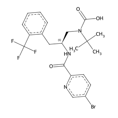 CC(C)(C)N(C[C@H](Cc1ccccc1C(F)(F)F)NC(=O)c1ccc(Br)cn1)C(=O)O